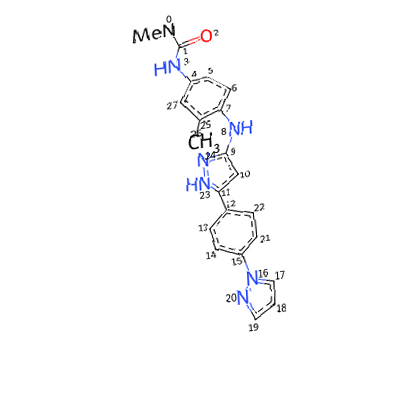 CNC(=O)Nc1ccc(Nc2cc(-c3ccc(-n4cccn4)cc3)[nH]n2)c(C)c1